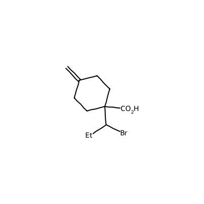 C=C1CCC(C(=O)O)(C(Br)CC)CC1